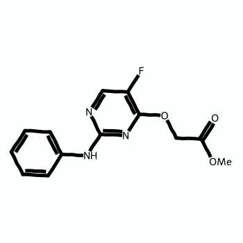 COC(=O)COc1nc(Nc2ccccc2)ncc1F